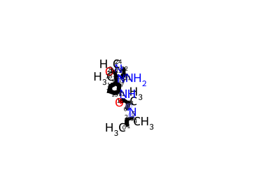 CC=C/C(C)=N\C=C(/C)C(=O)Nc1cccc(C2(C)N=C(N)CN(C)C2=O)c1